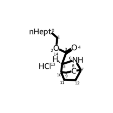 CCCCCCCCOC(=O)[C@H]1NC2CCC1CC2.Cl